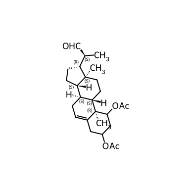 CC(=O)OC1CC2=CC[C@H]3[C@@H]4CC[C@H]([C@H](C)C=O)[C@@]4(C)CC[C@@H]3[C@@]2(C)C(OC(C)=O)C1